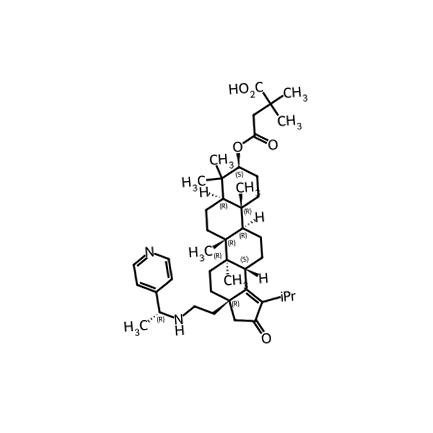 CC(C)C1=C2[C@H]3CC[C@@H]4[C@@]5(C)CC[C@H](OC(=O)CC(C)(C)C(=O)O)C(C)(C)[C@@H]5CC[C@@]4(C)[C@]3(C)CC[C@@]2(CCN[C@H](C)c2ccncc2)CC1=O